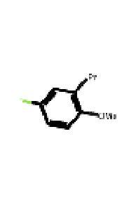 COc1ccc(F)cc1C(C)C